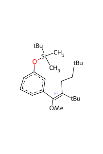 CO/C(=C(/CCC(C)(C)C)C(C)(C)C)c1cccc(O[Si](C)(C)C(C)(C)C)c1